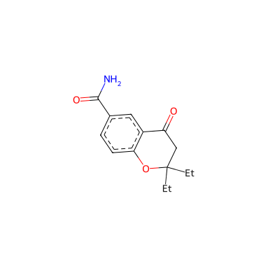 CCC1(CC)CC(=O)c2cc(C(N)=O)ccc2O1